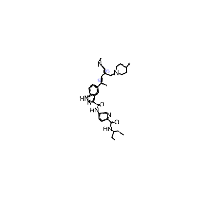 C=N/C=C(\C=C(/C)c1ccc2[nH]nc(C(=O)Nc3ccc(C(=O)NC(CC)CC)nc3)c2c1)CN1CCC(C)CC1